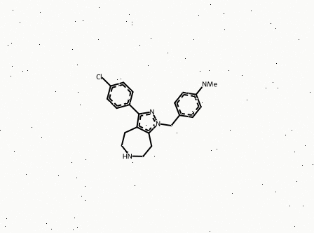 CNc1ccc(Cn2nc(-c3ccc(Cl)cc3)c3c2CCNCC3)cc1